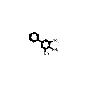 Nc1c([N+](=O)[O-])cc(-c2ccccc2)cc1[N+](=O)[O-]